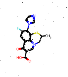 CC1Cn2cc(C(=O)O)c(=O)c3cc(F)c(-n4ccnc4)c(c32)S1